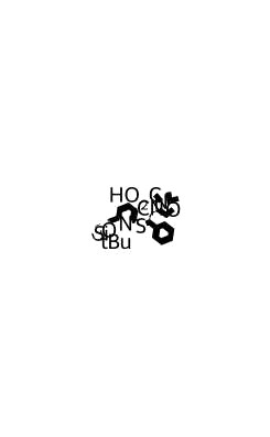 CC1(C)OC[C@H](C[C@@H](Sc2nc(CO[Si](C)(C)C(C)(C)C)ccc2C#N)c2ccccc2)N1C(=O)O